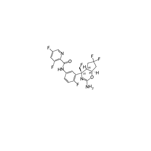 NC1=N[C@](CF)(c2cc(NC(=O)c3ncc(F)cc3F)ccc2F)[C@H]2CC(F)(F)C[C@H]2O1